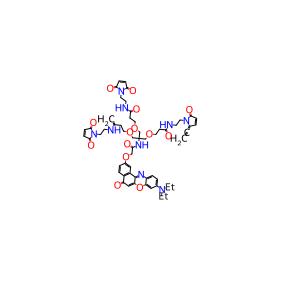 C=C=C1C=CC(=O)N1CCNC(=O)CCOCC(COCCC(=C)NCCN1C(=O)C=CC1=O)(COCCC(=O)NCCN1C(=O)C=CC1=O)NC(=O)COc1ccc2c(=O)cc3oc4cc(N(CC)CC)ccc4nc-3c2c1